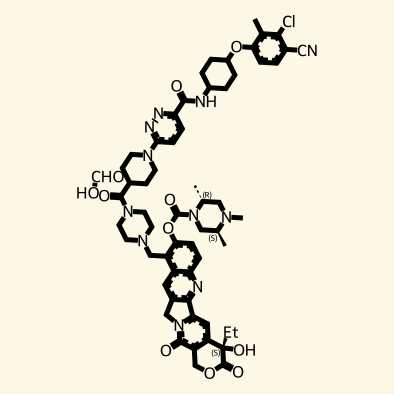 CC[C@@]1(O)C(=O)OCc2c1cc1n(c2=O)Cc2cc3c(CN4CCN(C(=O)C5CCN(c6ccc(C(=O)NC7CCC(Oc8ccc(C#N)c(Cl)c8C)CC7)nn6)CC5)CC4)c(OC(=O)N4C[C@H](C)N(C)C[C@H]4C)ccc3nc2-1.O=CO